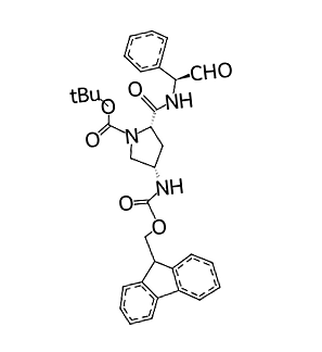 CC(C)(C)OC(=O)N1C[C@@H](NC(=O)OCC2c3ccccc3-c3ccccc32)C[C@H]1C(=O)N[C@H](C=O)c1ccccc1